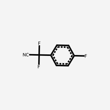 N#CC(F)(F)c1ccc(F)cc1